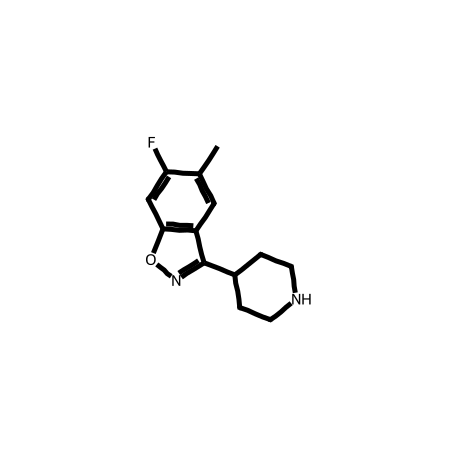 Cc1cc2c(C3CCNCC3)noc2cc1F